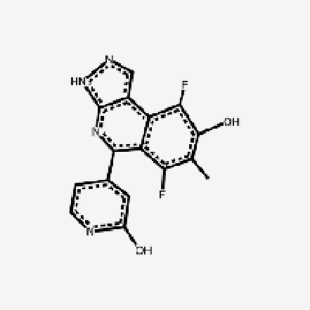 Cc1c(O)c(F)c2c(c(-c3ccnc(O)c3)nc3[nH]ncc32)c1F